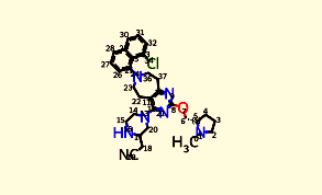 CN1CCC[C@H]1COc1nc2c(c(N3CCNC(CC#N)C3)n1)CCN(c1cccc3cccc(Cl)c13)CC2